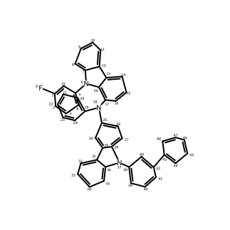 Fc1cccc(-n2c3ccccc3c3cccc(N(c4ccccc4)c4ccc5c(c4)c4ccccc4n5-c4cccc(-c5ccccc5)c4)c32)c1